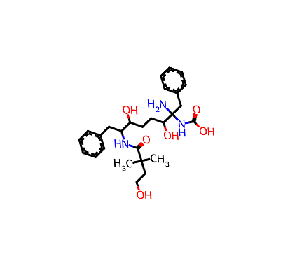 CC(C)(CCO)C(=O)NC(Cc1ccccc1)C(O)CCC(O)C(N)(Cc1ccccc1)NC(=O)O